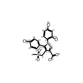 CS(=O)(=O)Cc1c(C(=O)Cl)nn(-c2ccc(Cl)cc2Cl)c1-c1ccc(Cl)cc1